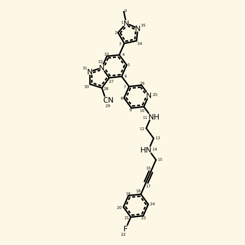 Cn1cc(-c2cc(-c3ccc(NCCNCC#Cc4ccc(F)cc4)nc3)c3c(C#N)cnn3c2)cn1